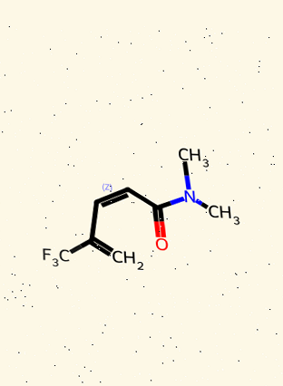 C=C(/C=C\C(=O)N(C)C)C(F)(F)F